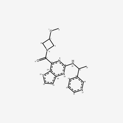 COC1CN(C(=O)c2nc(NC(C)c3cccnc3)nc3ccsc23)C1